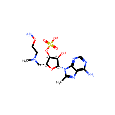 Cc1nc2c(N)ncnc2n1[C@@H]1O[C@H](CN(C)CCON)[C@@H](OS(=O)(=O)O)[C@H]1O